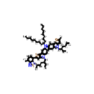 CCCCCCCCC(CCCCCCCC)n1c2cc3c4sc(C)cc4n(CC(CC)CCCC)c3cc2c2cc3c(cc21)c1sc(-c2ccc(C)c4nsnc24)cc1n3CC(CC)CCCC